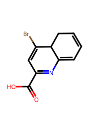 O=C(O)C1=NC2=CC=CCC2C(Br)=C1